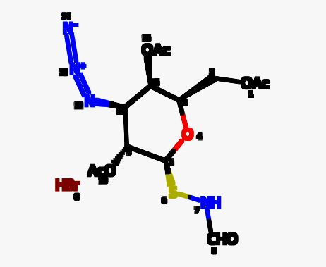 Br.CC(=O)OC[C@H]1O[C@@H](SNC=O)[C@H](OC(C)=O)[C@@H](N=[N+]=[N-])[C@H]1OC(C)=O